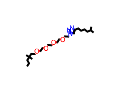 CCCC(C)(C)CCOCCOCCOCCOCCn1cc(CCCCC(C)C)nn1